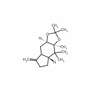 C=C1CC[C@@H]2C1C[C@H]1OC(C)(C)O[C@@]1(C)C2(C)C